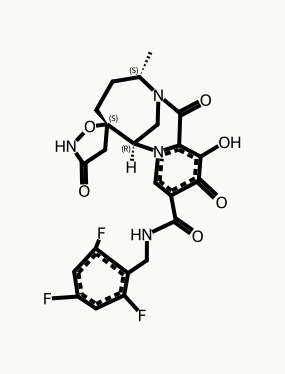 C[C@H]1CC[C@]2(CC(=O)NO2)[C@H]2CN1C(=O)c1c(O)c(=O)c(C(=O)NCc3c(F)cc(F)cc3F)cn12